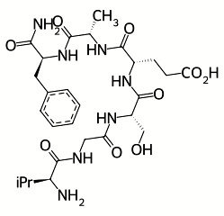 CC(C)[C@H](N)C(=O)NCC(=O)N[C@@H](CO)C(=O)N[C@@H](CCC(=O)O)C(=O)N[C@@H](C)C(=O)N[C@@H](Cc1ccccc1)C(N)=O